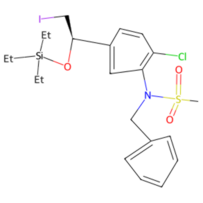 CC[Si](CC)(CC)O[C@@H](CI)c1ccc(Cl)c(N(Cc2ccccc2)S(C)(=O)=O)c1